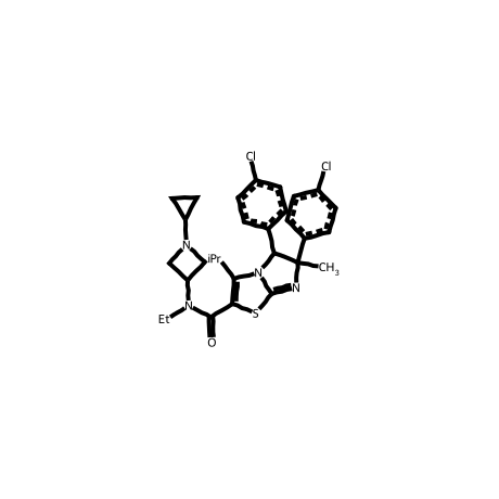 CCN(C(=O)C1=C(C(C)C)N2C(=NC(C)(c3ccc(Cl)cc3)C2c2ccc(Cl)cc2)S1)C1CN(C2CC2)C1